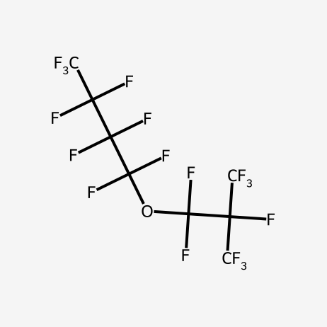 FC(F)(F)C(F)(F)C(F)(F)C(F)(F)OC(F)(F)C(F)(C(F)(F)F)C(F)(F)F